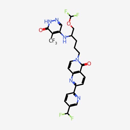 O=c1[nH]ncc(NC(CCCn2ccc3nc(-c4ccc(C(F)F)cn4)ccc3c2=O)COC(F)F)c1C(F)(F)F